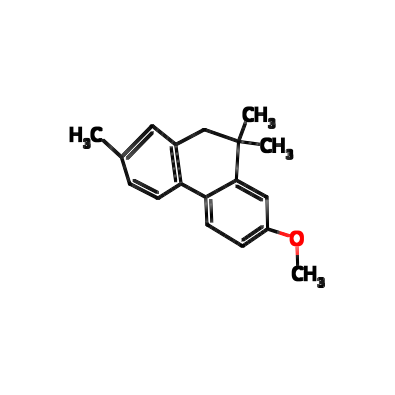 COc1ccc2c(c1)C(C)(C)Cc1cc(C)ccc1-2